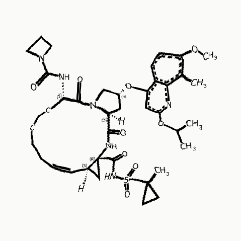 COc1ccc2c(O[C@@H]3C[C@H]4C(=O)N[C@]5(C(=O)NS(=O)(=O)C6(C)CC6)C[C@H]5C=CCCCCC[C@H](NC(=O)N5CCC5)C(=O)N4C3)cc(OC(C)C)nc2c1C